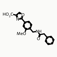 COc1cc(-c2nc(C(=O)O)co2)ccc1CNC(=O)Cc1ccccc1